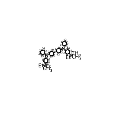 CCC(C)(C)c1ccc(N(c2ccccc2)c2ccc(-c3ccc(N(c4ccccc4)c4ccc(C(C)(CC)CC)cc4)cc3)cc2)cc1